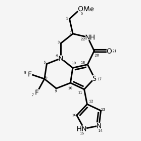 COCC1CN2CC(F)(F)Cc3c(-c4cn[nH]c4)sc(c32)C(=O)N1